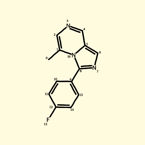 Cc1cncc2cnc(-c3ccc(F)cc3)n12